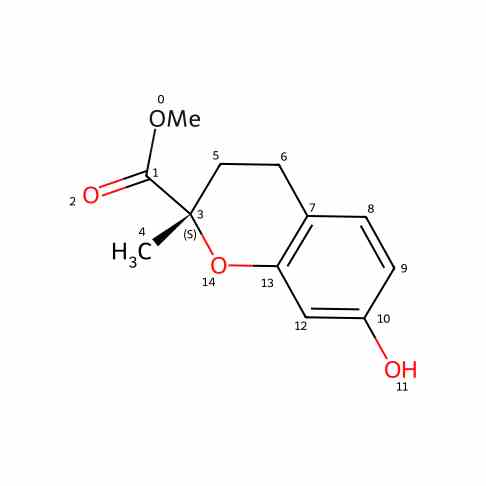 COC(=O)[C@]1(C)CCc2ccc(O)cc2O1